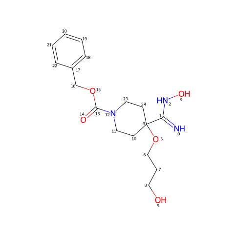 N=C(NO)C1(OCCCO)CCN(C(=O)OCc2ccccc2)CC1